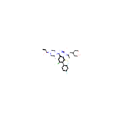 C=CC(=O)N1CCN(c2nc(=O)n3c4c(c(-c5ccc(F)cc5F)c(Cl)cc24)SC[C@@H]3CC2CCOCC2)[C@@H](C)C1